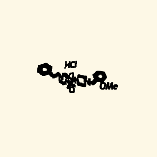 COc1ccccc1CN1CCN(C(=O)C2(N3CCN(CCc4ccccc4)CC3)COC2)CC1.Cl